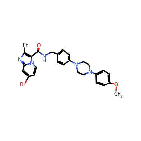 CCc1nc2cc(Br)ccn2c1C(=O)NCc1ccc(N2CCN(c3ccc(OC(F)(F)F)cc3)CC2)cc1